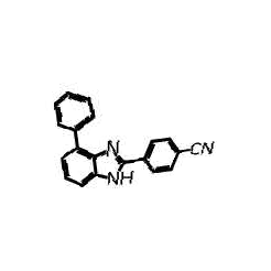 N#Cc1ccc(-c2nc3c(-c4ccccc4)cccc3[nH]2)cc1